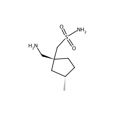 C[C@H]1CC[C@@](CN)(CS(N)(=O)=O)C1